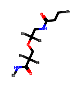 CCNC(=O)C(CC)(CC)COC(CC)(CC)CNC(=O)CCC(C)C